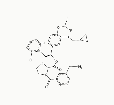 NCc1ccnc(C(=O)N2CCSC2C(=O)O[C@@H](Cc2c(Cl)cncc2Cl)c2ccc(OC(F)F)c(OCC3CC3)c2)c1